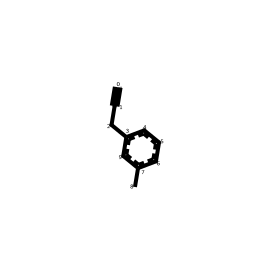 [C]#CCc1cccc(C)c1